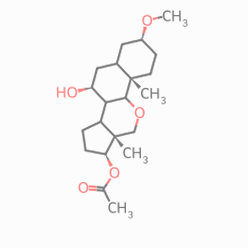 CO[C@H]1CC[C@@]2(C)C(C1)C[C@H](O)C1C2OC[C@@]2(C)C1CC[C@@H]2OC(C)=O